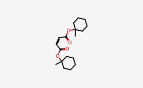 CC1(OC(=O)/C=C\C(=O)OC2(C)CCCCC2)CCCCC1